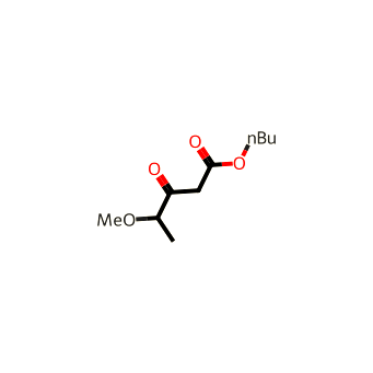 CCCCOC(=O)CC(=O)C(C)OC